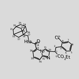 CCOC(=O)C(Cc1ccccc1Cl)c1cn2c(C(=O)NCC34CC5CC(CC(C5)C3)C4)cccc2n1